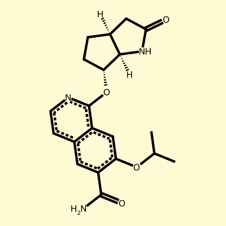 CC(C)Oc1cc2c(O[C@@H]3CC[C@H]4CC(=O)N[C@H]43)nccc2cc1C(N)=O